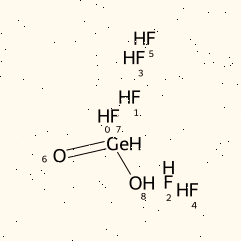 F.F.F.F.F.F.[O]=[GeH][OH]